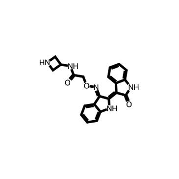 O=C(CO/N=C1/C(=C2/C(=O)Nc3ccccc32)Nc2ccccc21)NC1CNC1